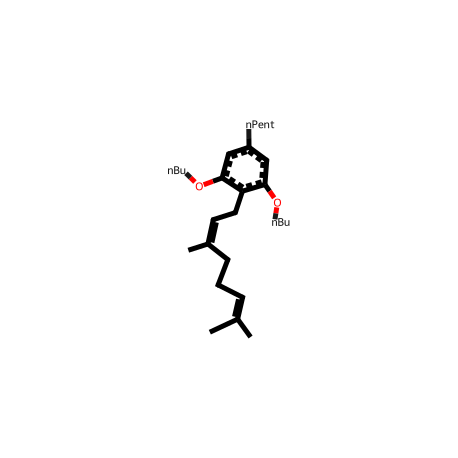 CCCCCc1cc(OCCCC)c(CC=C(C)CCC=C(C)C)c(OCCCC)c1